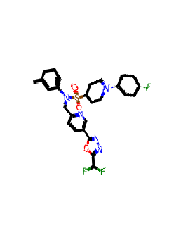 Cc1cccc(N(Cc2ccc(-c3nnc(C(F)F)o3)cn2)S(=O)(=O)C2CCN([C@H]3CC[C@@H](F)CC3)CC2)c1